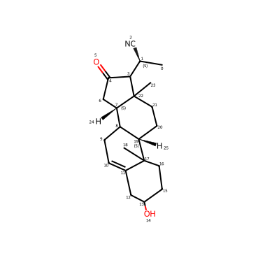 C[C@H](C#N)C1C(=O)C[C@H]2C3CC=C4CC(O)CCC4(C)[C@H]3CCC12C